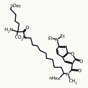 CCCCCCCCCCCCCCC(N)(C(=O)O)C(=O)CCCCCCCCCCC(CCCCCC)N(C)C(=O)c1cc2ccc(N(CC)CC)cc2oc1=O